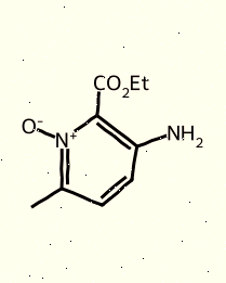 CCOC(=O)c1c(N)ccc(C)[n+]1[O-]